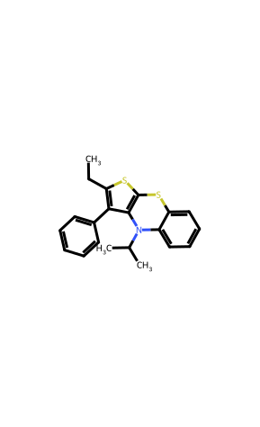 CCc1sc2c(c1-c1ccccc1)N(C(C)C)c1ccccc1S2